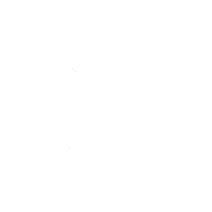 CC(NC(=O)C1CC1)c1ccc2nc(Oc3ccc(OCC4CC4)cc3)ccc2c1